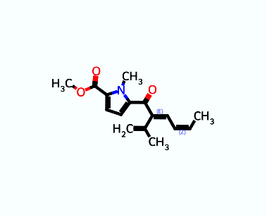 C=C(C)/C(=C\C=C/C)C(=O)c1ccc(C(=O)OC)n1C